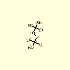 CCC(S)(CC)OSC(O)(CC)CC